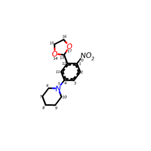 O=[N+]([O-])c1ccc(N2CCCCC2)cc1C1OCCO1